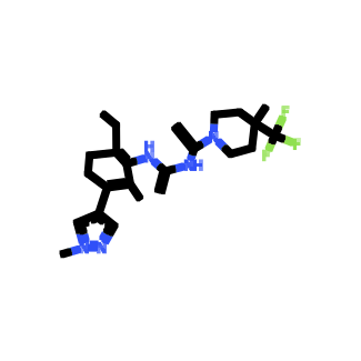 C=C(NC(=C)N1CCC(C)(C(F)(F)F)CC1)NC1=C(CC)CCC(c2cnn(C)c2)=C1C